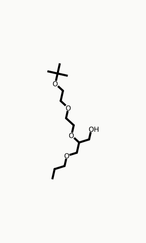 CCCOCC(CO)OCCOCCOC(C)(C)C